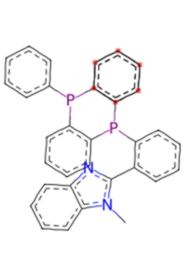 Cn1c(-c2ccccc2P(c2ccccc2)c2ccccc2P(c2ccccc2)c2ccccc2)nc2ccccc21